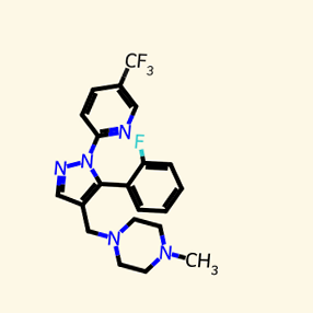 CN1CCN(Cc2cnn(-c3ccc(C(F)(F)F)cn3)c2-c2ccccc2F)CC1